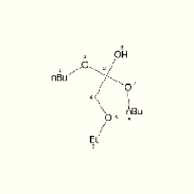 CCCCOC(O)(COCC)OCCCC